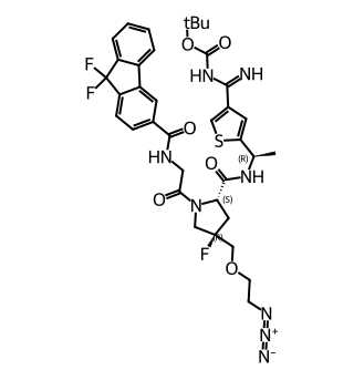 C[C@@H](NC(=O)[C@@H]1C[C@](F)(COCCN=[N+]=[N-])CN1C(=O)CNC(=O)c1ccc2c(c1)-c1ccccc1C2(F)F)c1cc(C(=N)NC(=O)OC(C)(C)C)cs1